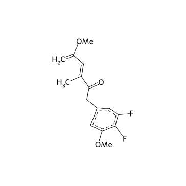 C=C(/C=C(\C)C(=O)Cc1cc(F)c(F)c(OC)c1)OC